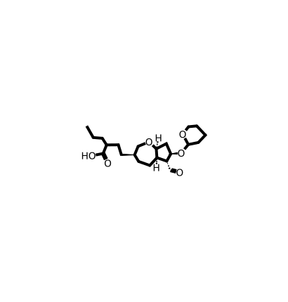 CCCC(CC[C@@H]1CC[C@@H]2[C@@H](C=O)[C@H](OC3CCCCO3)C[C@@H]2OC1)C(=O)O